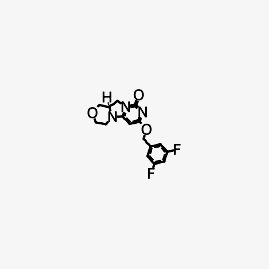 O=c1nc(OCc2cc(F)cc(F)c2)cc2n1C[C@@H]1COCCN21